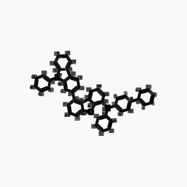 c1ccc(-c2ccc(N(c3ccccc3)c3cccc4c3oc3cccc(-c5ccc6c7ccccc7n(-c7ccccc7)c6c5)c34)cc2)cc1